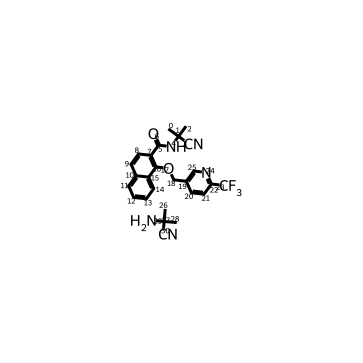 CC(C)(C#N)NC(=O)c1ccc2ccccc2c1OCc1ccc(C(F)(F)F)nc1.CC(C)(N)C#N